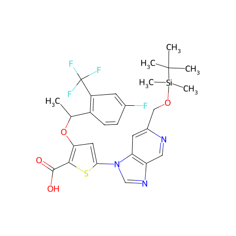 CC(Oc1cc(-n2cnc3cnc(CO[Si](C)(C)C(C)(C)C)cc32)sc1C(=O)O)c1ccc(F)cc1C(F)(F)F